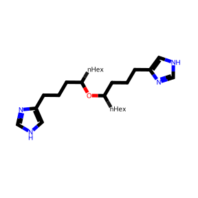 CCCCCCC(CCCc1c[nH]cn1)OC(CCCCCC)CCCc1c[nH]cn1